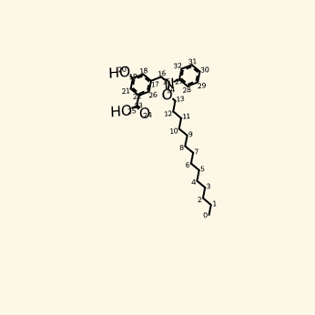 CCCCCCCCCCCCCCON(Cc1cc(O)cc(C(=O)O)c1)c1ccccc1